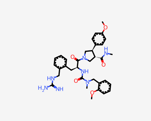 CNC(=O)[C@@H]1CN(C(=O)[C@H](Cc2ccccc2CNC(=N)N)NC(=O)N(C)Cc2ccccc2OC)C[C@H]1c1ccc(OC)cc1